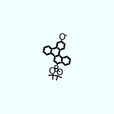 COc1ccc2c(c1)c1ccccc1c1cc(B3OC(C)(C)C(C)(C)O3)c3ccccc3c21